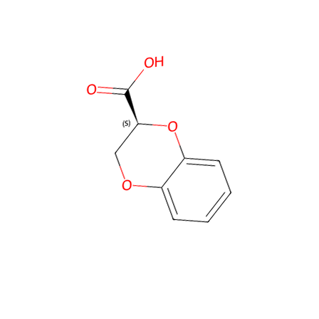 O=C(O)[C@@H]1COc2ccccc2O1